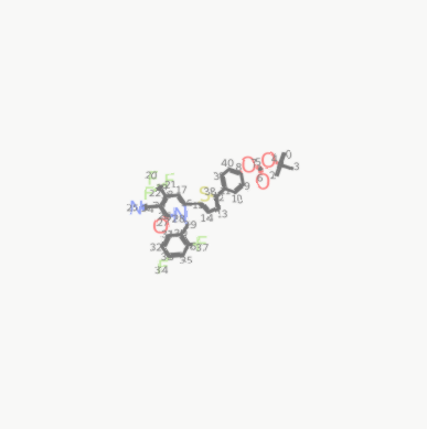 CC(C)(C)OC(=O)Oc1ccc(-c2ccc(-c3cc(C(F)(F)F)c(C#N)c(=O)n3Cc3ccc(F)cc3F)s2)cc1